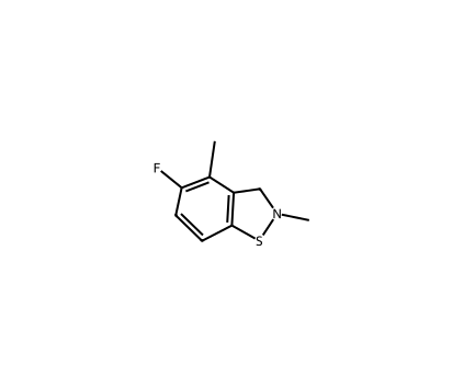 Cc1c(F)ccc2c1CN(C)S2